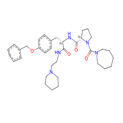 O=C(NCCN1CCCCC1)[C@H](Cc1ccc(OCc2ccccc2)cc1)NC(=O)[C@@H]1CCCN1C(=O)N1CCCCCC1